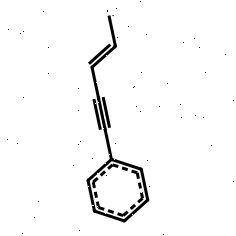 [CH2]/C=C/C#Cc1ccccc1